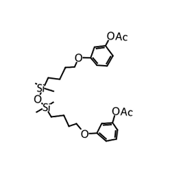 CC(=O)Oc1cccc(OCCCC[Si](C)(C)O[Si](C)(C)CCCCOc2cccc(OC(C)=O)c2)c1